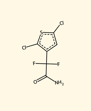 NC(=O)C(F)(F)c1cc(Cl)sc1Cl